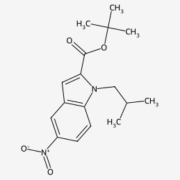 CC(C)Cn1c(C(=O)OC(C)(C)C)cc2cc([N+](=O)[O-])ccc21